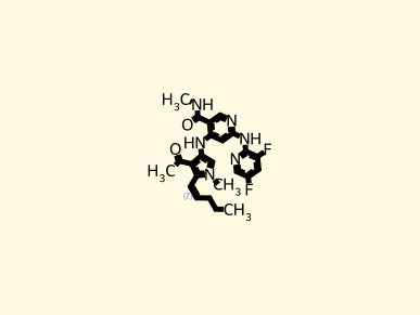 CCC/C=C\c1c(C(C)=O)c(Nc2cc(Nc3ncc(F)cc3F)ncc2C(=O)NC)cn1C